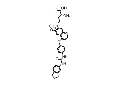 COc1cc2c(Oc3ccc(NC(=O)Nc4ccc5c(c4)CCC5)cc3)ccnc2cc1OCC[C@H](N)C(=O)O